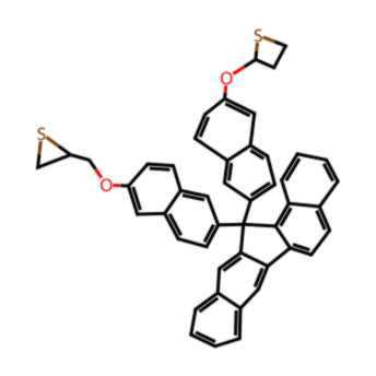 c1ccc2cc3c(cc2c1)-c1ccc2ccccc2c1C3(c1ccc2cc(OCC3CS3)ccc2c1)c1ccc2cc(OC3CCS3)ccc2c1